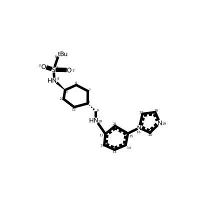 CC(C)(C)S(=O)(=O)N[C@H]1CC[C@H](CNc2cccc(-n3ccnc3)c2)CC1